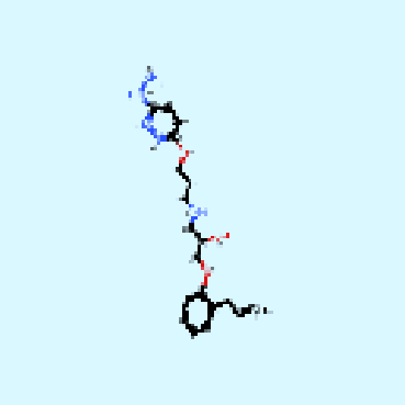 C=CCc1ccccc1OCC(O)CNCCCOc1ccc(NN)nn1